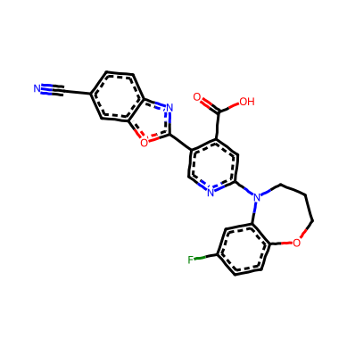 N#Cc1ccc2nc(-c3cnc(N4CCCOc5ccc(F)cc54)cc3C(=O)O)oc2c1